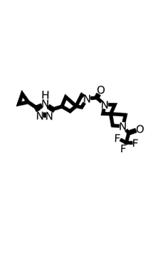 O=C(N1CC2(CC(c3nnc(C4CC4)[nH]3)C2)C1)N1CC2(C1)CN(C(=O)C(F)(F)F)C2